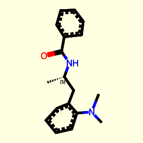 C[C@@H](Cc1ccccc1N(C)C)NC(=O)c1ccccc1